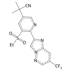 CCS(=O)(=O)c1cc(C(C)(C)C#N)cnc1-c1cn2ncc(C(F)(F)F)cc2n1